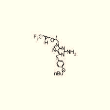 CCCCOc1ccc(Sc2nc(N)nc3c2ncn3CC(C)OCPCC(F)(F)F)cc1